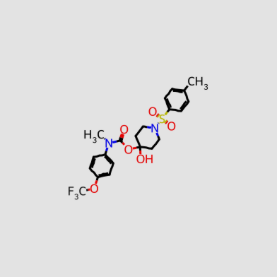 Cc1ccc(S(=O)(=O)N2CCC(O)(OC(=O)N(C)c3ccc(OC(F)(F)F)cc3)CC2)cc1